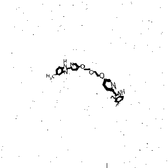 Cc1ccc2[nH]c(-c3ccc(OCCOCCOc4ccc(-c5nc6cc(F)ccc6[nH]5)nc4)cn3)nc2c1